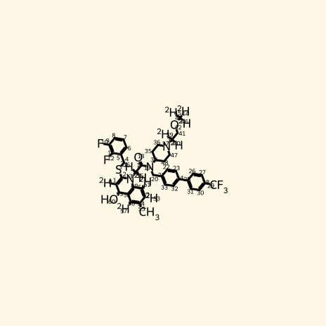 [2H]C1=C(SCc2cccc(F)c2F)N(C([2H])([2H])C(=O)N(Cc2ccc(-c3ccc(C(F)(F)F)cc3)cc2)C2CCN(C([2H])([2H])COC([2H])([2H])[2H])CC2)c2c([2H])c([2H])c(C)c([2H])c2C1O